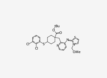 COCn1ccsc1=Nc1cccnc1CC1(C(=O)OC(C)(C)C)CCC(Sc2cccc(Cl)c2Cl)CC1